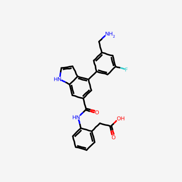 NCc1cc(F)cc(-c2cc(C(=O)Nc3ccccc3CC(=O)O)cc3[nH]ccc23)c1